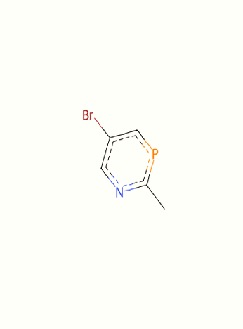 Cc1ncc(Br)cp1